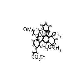 CCOC(=O)C=Cc1ccc(OCOC)c(-c2cc3c(cc2OCc2ccccc2)C(C)(C)CCC3(C)C)c1